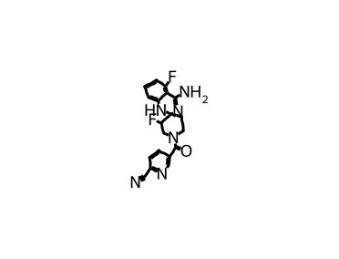 N#Cc1ccc(C(=O)N2CCC3(N=C(N)c4c(F)cccc4N3)C(F)C2)cn1